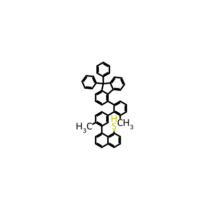 Cc1ccc(-c2c(C)cccc2-c2cccc3c2-c2ccccc2C3(c2ccccc2)c2ccccc2)cc1-c1cccc2cccc(S)c12